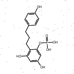 O=P(O)(O)Oc1cc(O)cc(O)c1CCCc1ccc(O)cc1